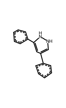 C1=C(c2ccccc2)C=C(c2ccccc2)NN1